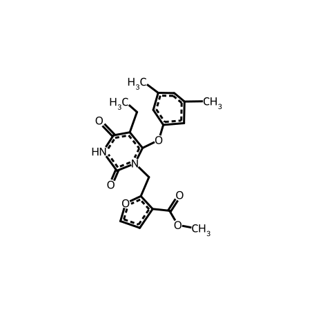 CCc1c(Oc2cc(C)cc(C)c2)n(Cc2occc2C(=O)OC)c(=O)[nH]c1=O